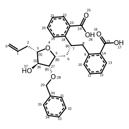 C=CC[C@@H]1O[C@H](C[C@@H](Cc2ccccc2C(=O)O)c2ccccc2C(=O)O)[C@H](OCc2ccccc2)[C@H]1O